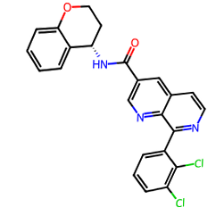 O=C(N[C@H]1CCOc2ccccc21)c1cnc2c(-c3cccc(Cl)c3Cl)nccc2c1